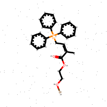 CC(=CC[PH](c1ccccc1)(c1ccccc1)c1ccccc1)C(=O)OCCOBr